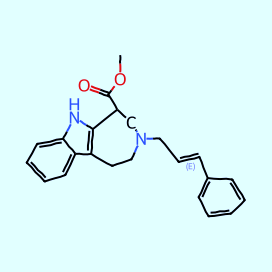 COC(=O)C1CN(C/C=C/c2ccccc2)CCc2c1[nH]c1ccccc21